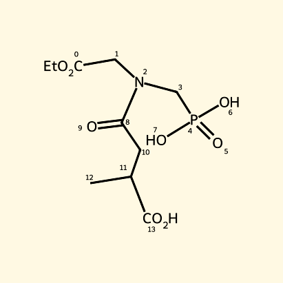 CCOC(=O)CN(CP(=O)(O)O)C(=O)CC(C)C(=O)O